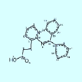 O=C(O)CCc1cccnc1N=C(c1ccccc1)c1ccccc1